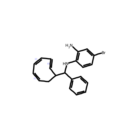 Nc1cc(Br)ccc1NC(c1ccccc1)C1/C=C/C=C\C=C/C1